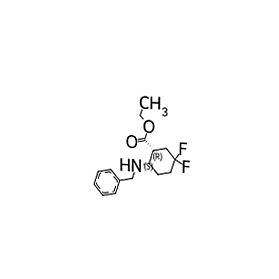 CCOC(=O)[C@@H]1CC(F)(F)CC[C@@H]1NCc1ccccc1